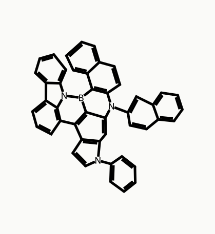 c1ccc(-n2ccc3c4c5c(cc32)N(c2ccc3ccccc3c2)c2ccc3ccccc3c2B5n2c3ccccc3c3cccc-4c32)cc1